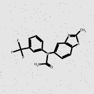 Cc1nc2cc(N(C(N)=O)c3cccc(C(F)(F)F)c3)ccc2s1